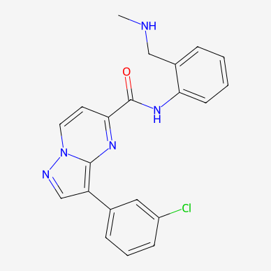 CNCc1ccccc1NC(=O)c1ccn2ncc(-c3cccc(Cl)c3)c2n1